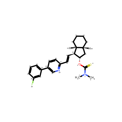 CN(C)C(=S)O[C@H]1C[C@H]2CCCC[C@H]2[C@@H]1/C=C/c1ccc(-c2cccc(F)c2)cn1